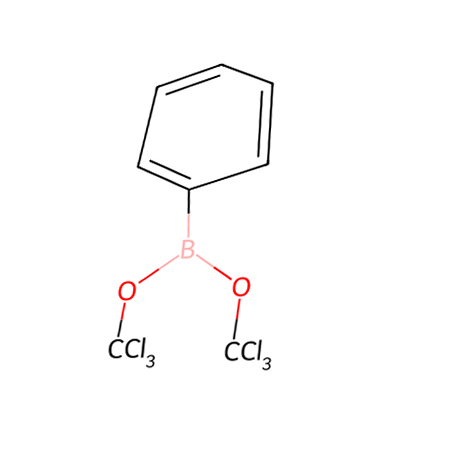 ClC(Cl)(Cl)OB(OC(Cl)(Cl)Cl)c1ccccc1